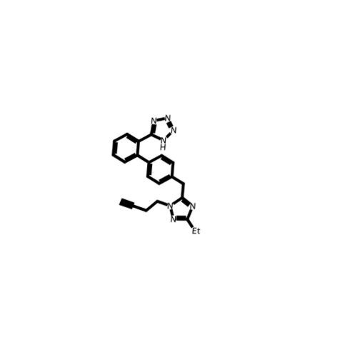 C#CCCn1nc(CC)nc1Cc1ccc(-c2ccccc2-c2nnn[nH]2)cc1